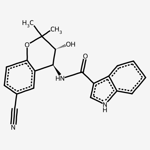 CC1(C)Oc2ccc(C#N)cc2[C@H](NC(=O)c2c[nH]c3ccccc23)[C@H]1O